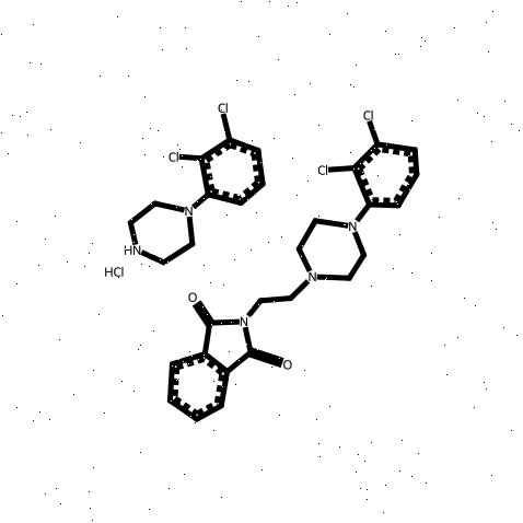 Cl.Clc1cccc(N2CCNCC2)c1Cl.O=C1c2ccccc2C(=O)N1CCN1CCN(c2cccc(Cl)c2Cl)CC1